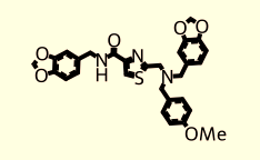 COc1ccc(CN(Cc2ccc3c(c2)OCO3)Cc2nc(C(=O)NCc3ccc4c(c3)OCO4)cs2)cc1